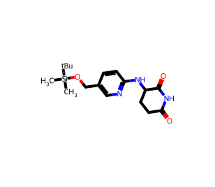 CC(C)(C)[Si](C)(C)OCc1ccc(NC2CCC(=O)NC2=O)nc1